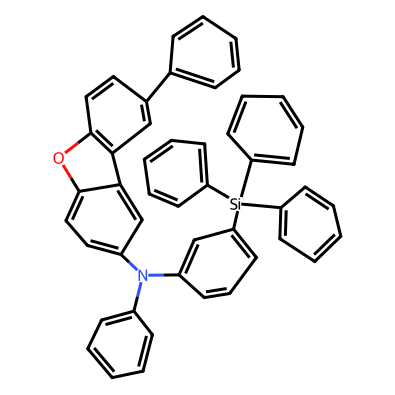 c1ccc(-c2ccc3oc4ccc(N(c5ccccc5)c5cccc([Si](c6ccccc6)(c6ccccc6)c6ccccc6)c5)cc4c3c2)cc1